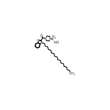 CCCCCCCCCCCCCCCCCCn1c(C(=O)N2CCN(C)CC2)nc2ccccc21.Cl